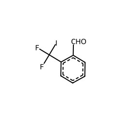 O=Cc1ccccc1C(F)(F)I